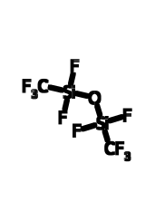 FC(F)(F)[Si](F)(F)O[Si](F)(F)C(F)(F)F